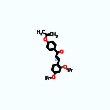 C=C(C)Oc1ccc(C(=O)/C=C/c2ccc(OC(C)C)cc2OC(C)C)cc1